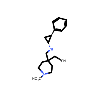 N#CCC1(CN[C@@H]2C[C@H]2c2ccccc2)CCN(C(=O)O)CC1